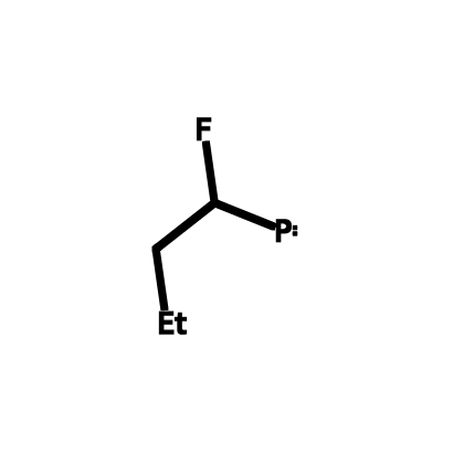 CCCC(F)[P]